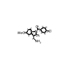 COc1ccc2c(c1)c(CN)c(C)n2C(=O)c1ccc(Cl)cc1